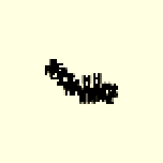 N=C(NCc1ccc(OC(F)(F)F)cc1)NC(=N)Nc1cccnc1